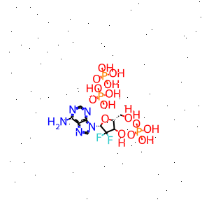 Nc1ncnc2c1ncn2[C@@H]1O[C@H](CO)[C@@H](O)C1(F)F.O=P(O)(O)O.O=P(O)(O)O.O=P(O)(O)O